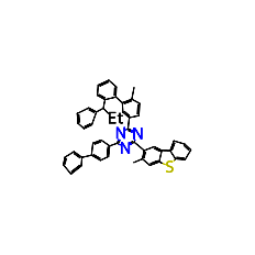 CCC(c1ccccc1)c1ccccc1-c1cc(-c2nc(-c3ccc(-c4ccccc4)cc3)nc(-c3cc4c(cc3C)sc3ccccc34)n2)ccc1C